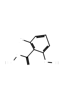 COC(=O)c1c(N)cccc1OC